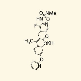 CNS(=O)(=O)Nc1nccc(Cc2c(C)c3ccc(Oc4ccccn4)cc3oc2=O)c1F.[KH]